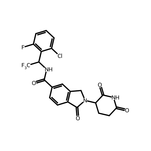 O=C1CCC(N2Cc3cc(C(=O)NC(c4c(F)cccc4Cl)C(F)(F)F)ccc3C2=O)C(=O)N1